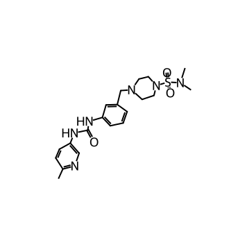 Cc1ccc(NC(=O)Nc2cccc(CN3CCN(S(=O)(=O)N(C)C)CC3)c2)cn1